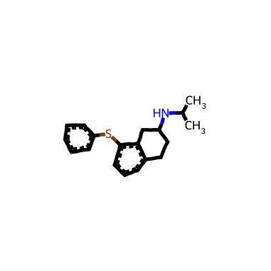 CC(C)NC1CCc2cccc(Sc3ccccc3)c2C1